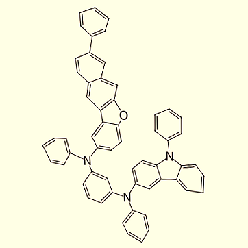 c1ccc(-c2ccc3cc4c(cc3c2)oc2ccc(N(c3ccccc3)c3cccc(N(c5ccccc5)c5ccc6c(c5)c5ccccc5n6-c5ccccc5)c3)cc24)cc1